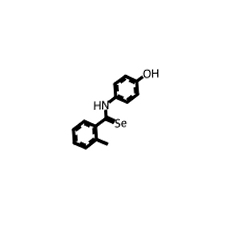 Cc1ccccc1C(=[Se])Nc1ccc(O)cc1